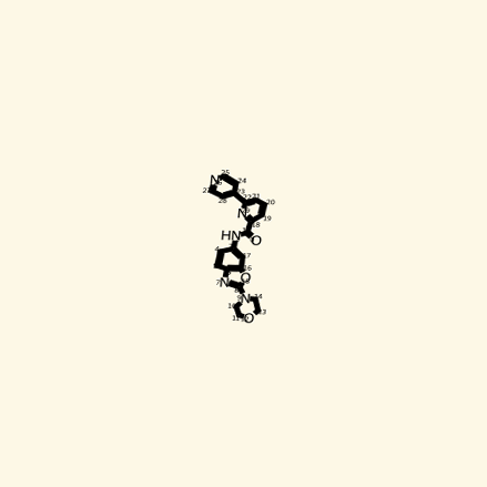 O=C(Nc1ccc2nc(N3CCOCC3)oc2c1)c1cccc(-c2ccncc2)n1